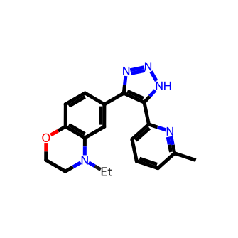 CCN1CCOc2ccc(-c3nn[nH]c3-c3cccc(C)n3)cc21